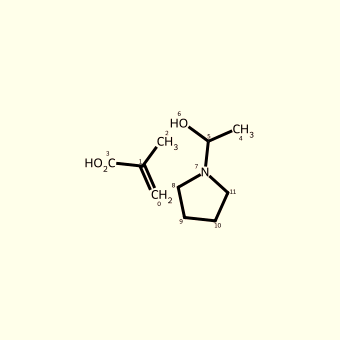 C=C(C)C(=O)O.CC(O)N1CCCC1